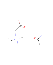 CC(N)=O.C[N+](C)(C)CC(=O)[O-].O